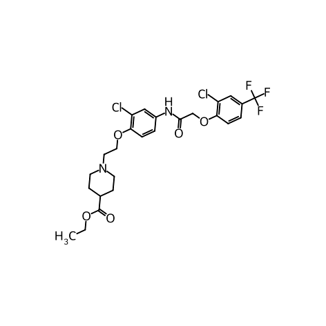 CCOC(=O)C1CCN(CCOc2ccc(NC(=O)COc3ccc(C(F)(F)F)cc3Cl)cc2Cl)CC1